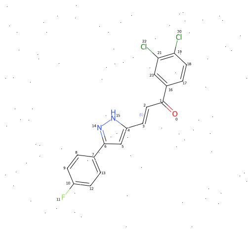 O=C(/C=C/c1cc(-c2ccc(F)cc2)n[nH]1)c1ccc(Cl)c(Cl)c1